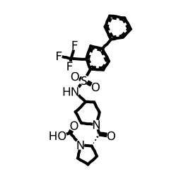 O=C([C@@H]1CCCN1C(=O)O)N1CCC(NS(=O)(=O)c2ccc(-c3ccccc3)cc2C(F)(F)F)CC1